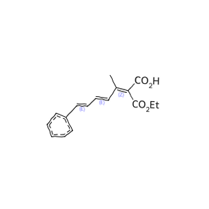 CCOC(=O)\C(C(=O)O)=C(C)/C=C/C=C/c1ccccc1